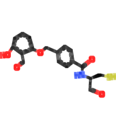 O=Cc1c(O)cccc1OCc1ccc(C(=O)N[C@H](C=O)CS)cc1